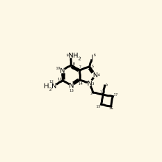 CC1(Cn2nc(I)c3c(N)nc(N)nc32)CCC1